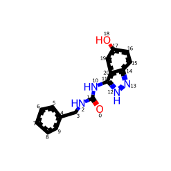 O=C(NCc1ccccc1)Nc1[nH]nc2ccc(O)cc12